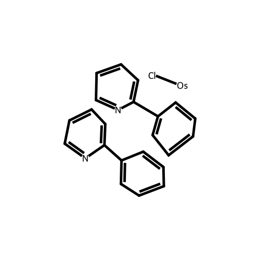 [Cl][Os].c1ccc(-c2ccccn2)cc1.c1ccc(-c2ccccn2)cc1